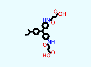 CCC(C)c1ccc(C(c2ccc(NC(=O)/C=C/C(=O)O)cc2)c2ccc(NC(=O)/C=C/C(=O)O)cc2)cc1